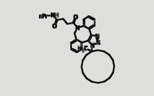 CCCNC(=O)CCC(=O)N1Cc2ccccc2-c2c(nnn2C2(C)CCCCCCCCCCCCCCC2)-c2ccccc21